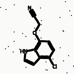 N#CCOc1ccc(Cl)c2cc[nH]c12